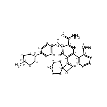 COc1cccnc1-c1nc(C(N)=O)c(Nc2ccc(N3CCN(C)CC3)cc2)nc1N1CCC12CCOCC2